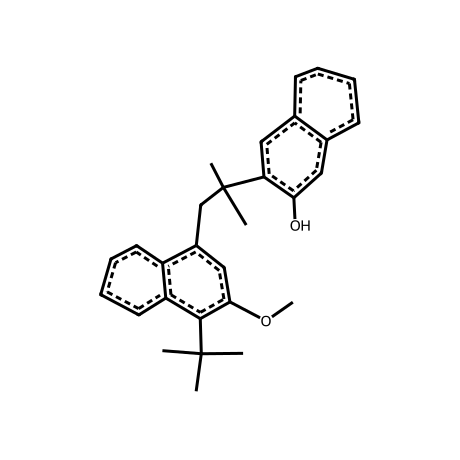 COc1cc(CC(C)(C)c2cc3ccccc3cc2O)c2ccccc2c1C(C)(C)C